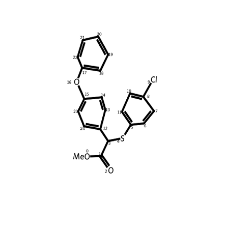 COC(=O)C(Sc1ccc(Cl)cc1)c1ccc(Oc2ccccc2)cc1